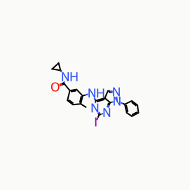 Cc1ccc(C(=O)NC2CC2)cc1Nc1nc(I)nc2c1cnn2-c1ccccc1